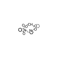 CCOC(=O)C1c2ccccc2C(=O)N1CCc1cccc(COC2CCCCO2)n1